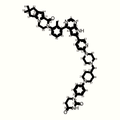 Cc1c(-c2ncnc3[nH]c(-c4ccc(N5CCN(CC6CCN(c7ccc(N8CCC(=O)NC8=O)cc7)CC6)CC5)nc4)cc23)cccc1N1CCn2c(cc3c2CC(C)(C)C3)C1=O